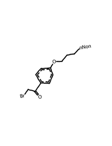 CCCCCCCCCCCCOc1ccc(C(=O)CBr)cc1